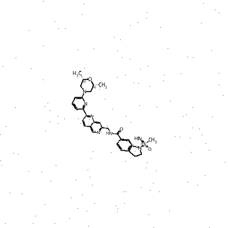 C[C@@H]1CN(c2cccc(-c3ccc4cnc(CNC(=O)c5ccc6c(c5)N([S@](C)(=N)=O)CC6)cc4n3)n2)C[C@H](C)O1